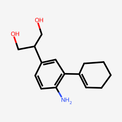 Nc1ccc(C(CO)CO)cc1C1=CCCCC1